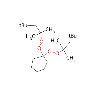 CC(C)(C)CC(C)(C)OOC1(OOC(C)(C)CC(C)(C)C)CCCCC1